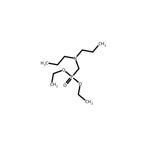 CCCN(CCC)CP(=O)(OCC)OCC